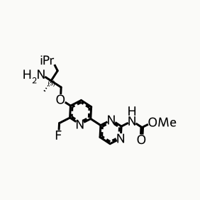 COC(=O)Nc1nccc(-c2ccc(OC[C@@](C)(N)CC(C)C)c(CF)n2)n1